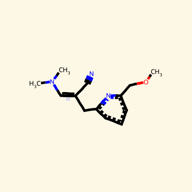 COCc1cccc(C/C(C#N)=C/N(C)C)n1